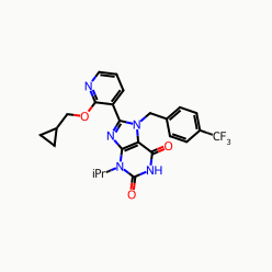 CC(C)n1c(=O)[nH]c(=O)c2c1nc(-c1cccnc1OCC1CC1)n2Cc1ccc(C(F)(F)F)cc1